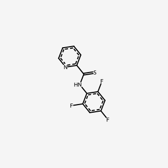 Fc1cc(F)c(NC(=S)c2ccccn2)c(F)c1